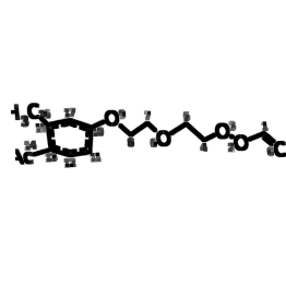 C=COOCCOCCOc1ccc(C(C)=O)c(C)c1